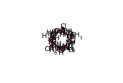 CC1C(=O)N[C@@H](CCS(C)(=O)=O)C(=O)N[C@@H](Cc2c[nH]c3ccccc23)C(=O)N[C@@H](Cc2cccc(Cl)c2)C(=O)N(C)[C@@H](Cc2ccccc2)C(=O)N[C@@](N)([C@@H](C)O)C(=O)N[C@@H](Cc2cccc(Cl)c2)C(=O)N[C@H](C(=O)N2CCC[C@H]2C(=O)O)CC(=O)N[C@@H](C)C(=O)N[C@@H]([C@@H](C)O)C(=O)N[C@@H](Cc2cccc(Cl)c2)C(=O)N1C